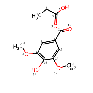 CCC(=O)O.COc1cc(C=O)cc(OC)c1O